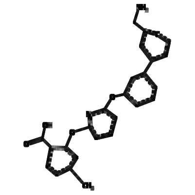 Cc1ccc(C(=O)O)c(Oc2cccc(Oc3cccc(-c4cccc(CN)c4)c3)n2)c1